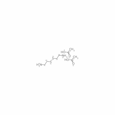 CC(=O)O.CC(=O)O.NCCSSCCN